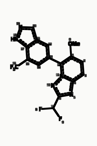 COc1ccc2nc(C(F)F)nn2c1-c1cc(C(F)(F)F)c2[nH]ncc2c1